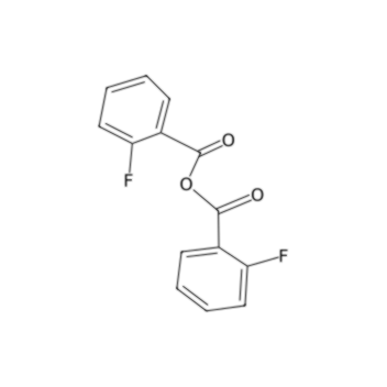 O=C(OC(=O)c1ccccc1F)c1ccccc1F